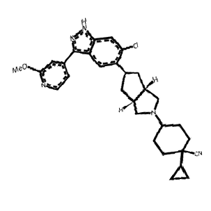 COc1cc(-c2n[nH]c3cc(Cl)c(C4C[C@@H]5CN(C6CCC(C#N)(C7CC7)CC6)C[C@@H]5C4)cc23)ccn1